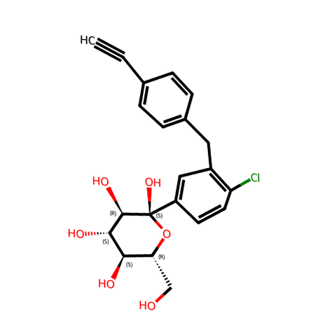 C#Cc1ccc(Cc2cc([C@]3(O)O[C@H](CO)[C@@H](O)[C@H](O)[C@H]3O)ccc2Cl)cc1